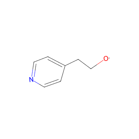 [O]CCc1ccncc1